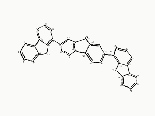 c1ccc2c(c1)oc1c(-c3ccc4c(c3)[nH]c3cc(-c5cccc6c5oc5ccccc56)ccc34)cccc12